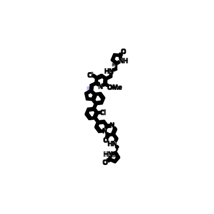 COc1nc(/C=C2/CCc3c2cccc3-c2cccc(-c3ccn4c(=O)c(CNC[C@@H]5CCC(=O)N5)cnc4c3)c2Cl)c(Cl)cc1CNC[C@H]1CCC(=O)N1